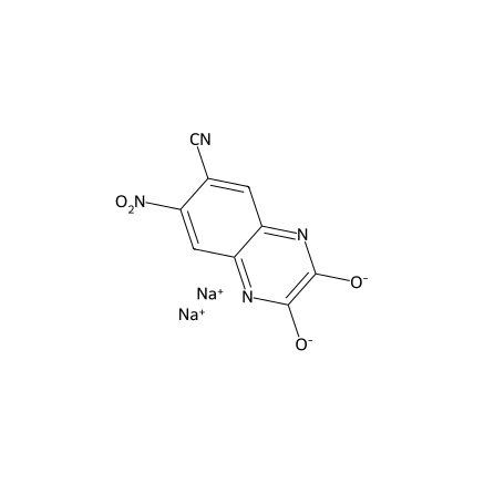 N#Cc1cc2nc([O-])c([O-])nc2cc1[N+](=O)[O-].[Na+].[Na+]